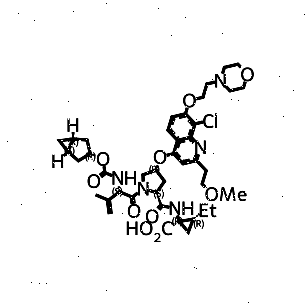 C=C(C)[C@H](NC(=O)O[C@@H]1C[C@@H]2C[C@@H]2C1)C(=O)N1C[C@H](Oc2cc(CCOC)nc3c(Cl)c(OCCN4CCOCC4)ccc23)C[C@H]1C(=O)N[C@]1(C(=O)O)C[C@H]1CC